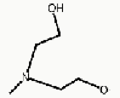 CN(CC[O])CCO